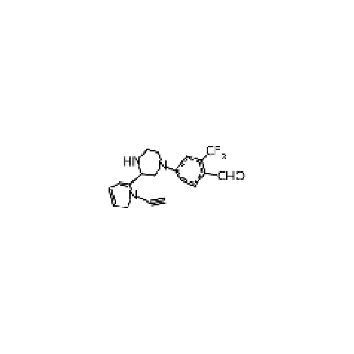 C#CN1CC=CC=C1C1CN(c2ccc(C=O)c(C(F)(F)F)c2)CCN1